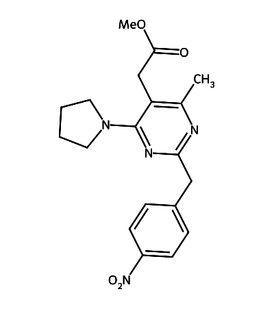 COC(=O)Cc1c(C)nc(Cc2ccc([N+](=O)[O-])cc2)nc1N1CCCC1